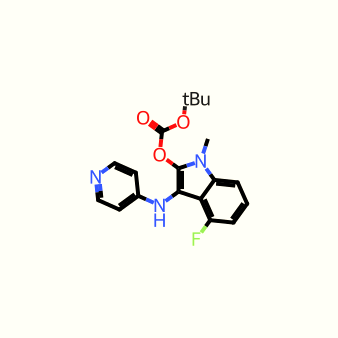 Cn1c(OC(=O)OC(C)(C)C)c(Nc2ccncc2)c2c(F)cccc21